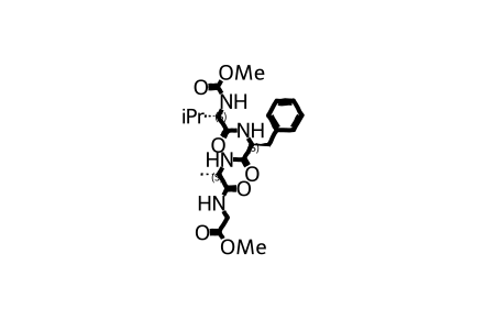 COC(=O)CNC(=O)[C@H](C)NC(=O)[C@H](Cc1ccccc1)NC(=O)[C@@H](NC(=O)OC)C(C)C